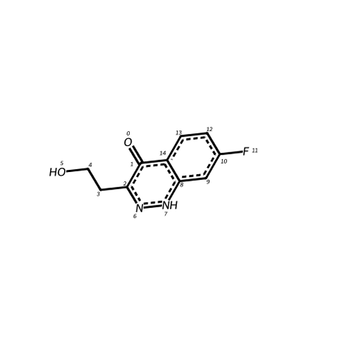 O=c1c(CCO)n[nH]c2cc(F)ccc12